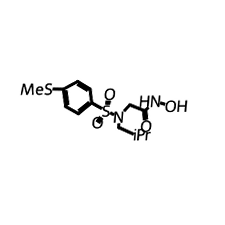 CSc1ccc(S(=O)(=O)N(CC(=O)NO)CC(C)C)cc1